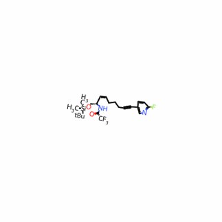 CC(C)(C)[Si](C)(C)OC[C@@H](/C=C\CCCC#Cc1ccc(F)nc1)NC(=O)C(F)(F)F